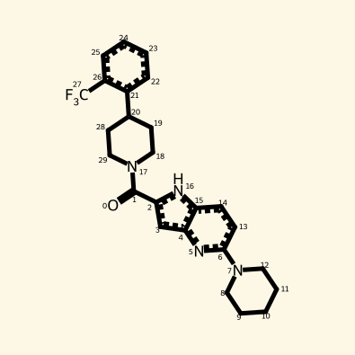 O=C(c1cc2nc(N3CCCCC3)ccc2[nH]1)N1CCC(c2ccccc2C(F)(F)F)CC1